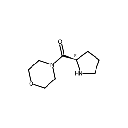 O=C([C@H]1CCCN1)N1CCOCC1